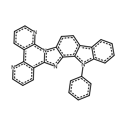 c1ccc(-n2c3ccccc3c3ccc4c(nc5c6cccnc6c6cccnc6n45)c32)cc1